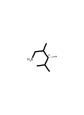 BCC(C)[C@H](C)C(C)C